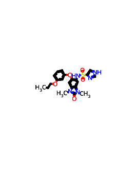 CCCOc1cccc(Oc2cc3c(cc2NS(=O)(=O)c2c[nH]cn2)n(C)c(=O)n3C)c1